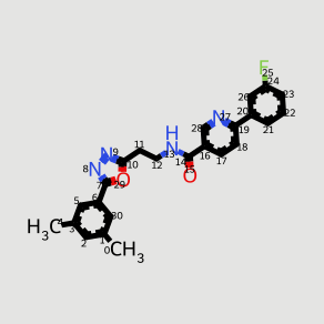 Cc1cc(C)cc(-c2nnc(CCNC(=O)c3ccc(-c4cccc(F)c4)nc3)o2)c1